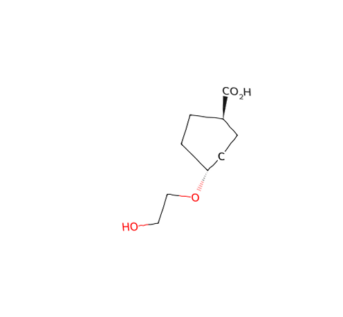 O=C(O)[C@H]1CC[C@H](OCCO)CC1